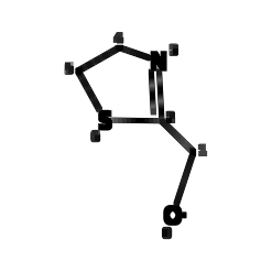 [O]CC1=NCCS1